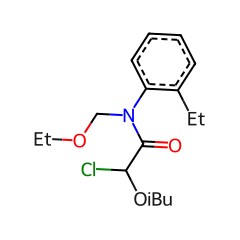 CCOCN(C(=O)C(Cl)OCC(C)C)c1ccccc1CC